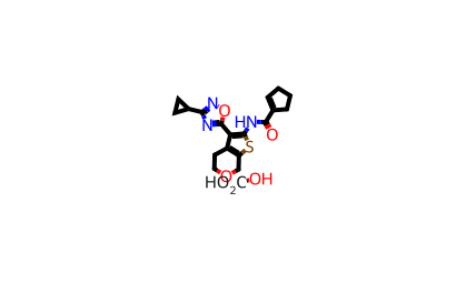 O=C(Nc1sc2c(c1-c1nc(C3CC3)no1)CCOC2)C1=CCCC1.O=C(O)O